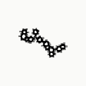 c1ccc(N(c2ccc(-c3ccc4c(c3)oc3c5ccccc5c(-c5ccc6ccccc6c5)cc43)cc2)c2ccc3sc4ccc5ccccc5c4c3c2)cc1